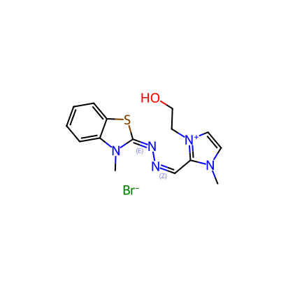 Cn1cc[n+](CCO)c1/C=N\N=c1\sc2ccccc2n1C.[Br-]